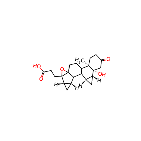 C[C@]12CCC(=O)C[C@@]1(O)[C@@H]1C[C@@H]1C1C2CC[C@]23O[C@@]2(CCC(=O)O)[C@H]2C[C@H]2C13